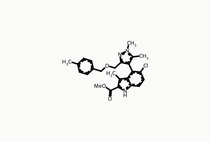 COC(=O)c1[nH]c2ccc(Cl)c(-c3c(COCc4ccc(C)cc4)nn(C)c3C)c2c1C